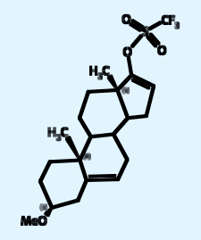 CO[C@H]1CC[C@@]2(C)C(=CCC3C2CC[C@]2(C)C(OS(=O)(=O)C(F)(F)F)=CCC32)C1